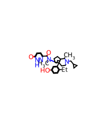 CCc1ccc(O)cc1C12CCN(CC3CC3)C(C)C13CCC(N(C)C(=O)c1ccc(=O)[nH]n1)C2CC3